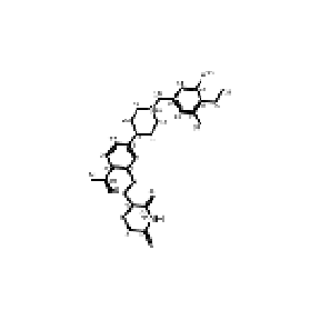 C=C1CCC(CCc2cc(C3CCN(Cc4cc(C)c(CC)c(F)c4)CC3)ccc2C(=C)C)C(=C)N1